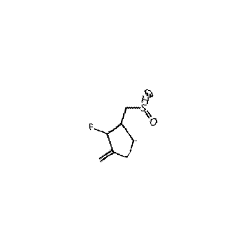 C=C1C[CH]C(C[SH](=O)=O)C1F